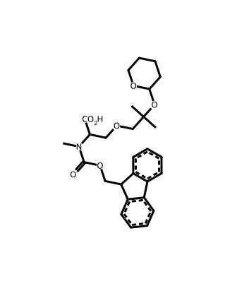 CN(C(=O)OCC1c2ccccc2-c2ccccc21)C(COCC(C)(C)OC1CCCCO1)C(=O)O